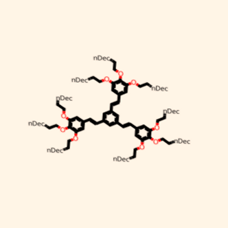 CCCCCCCCCCCCOc1cc(/C=C/c2cc(/C=C/c3cc(OCCCCCCCCCCCC)c(OCCCCCCCCCCCC)c(OCCCCCCCCCCCC)c3)cc(/C=C/c3cc(OCCCCCCCCCCCC)c(OCCCCCCCCCCCC)c(OCCCCCCCCCCCC)c3)c2)cc(OCCCCCCCCCCCC)c1OCCCCCCCCCCCC